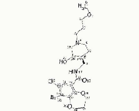 COCCCN1CC[C@@H](CNC(=O)c2cc(Cl)c(Br)c3c2OCCCO3)C(O)C1